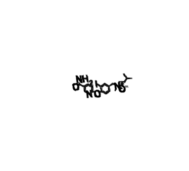 CC(C)CC[N+](C)([O-])Cc1ccc(Oc2ccc(C(N)=O)cn2)c(I)c1